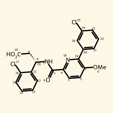 COc1ccc(C(=O)N[C@@H](CC(=O)O)c2ccccc2Cl)nc1-c1cccc(Cl)c1